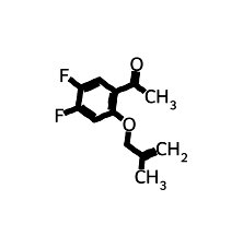 C=C(C)COc1cc(F)c(F)cc1C(C)=O